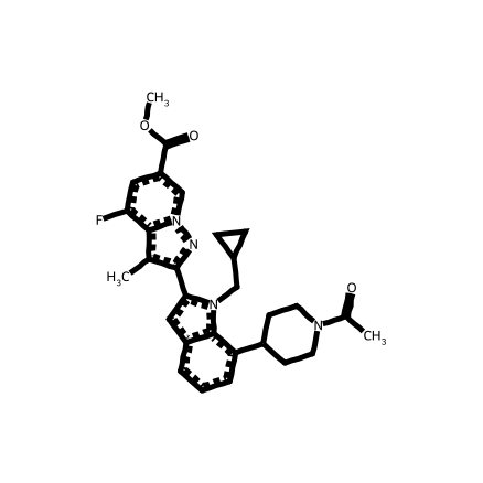 COC(=O)c1cc(F)c2c(C)c(-c3cc4cccc(C5CCN(C(C)=O)CC5)c4n3CC3CC3)nn2c1